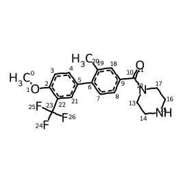 COc1ccc(-c2ccc(C(=O)N3CCNCC3)cc2C)cc1C(F)(F)F